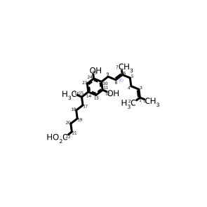 CC(C)=CCC/C(C)=C/Cc1c(O)cc(C(C)CCCCCC(=O)O)cc1O